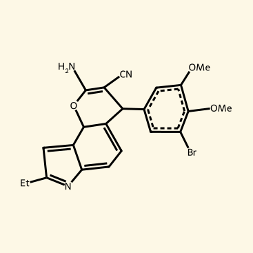 CCC1=NC2=CC=C3C(OC(N)=C(C#N)C3c3cc(Br)c(OC)c(OC)c3)C2=C1